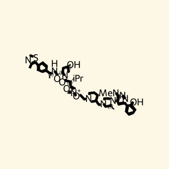 CNc1nnc(-c2ccccc2O)cc1N1CCN(CC2CCCN(CCO[n+]3coc([C@H](C(=O)N4C[C@H](O)C[C@H]4C(=O)N[C@@H](C)c4ccc(-c5scnc5C)cc4)C(C)C)c3)C2)C[C@@H]1C